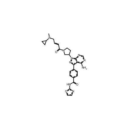 CN(CC=CC(=O)N1CCC(n2nc(-c3ccc(C(=O)Nc4ncco4)cc3)c3c(N)ncnc32)C1)C1CC1